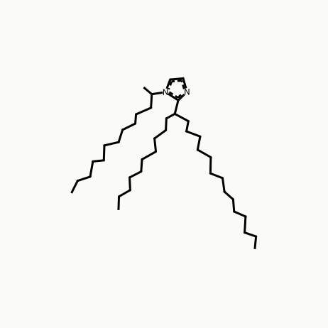 CCCCCCCCCCCCCCC(CCCCCCCCCC)c1nccn1C(C)CCCCCCCCCCC